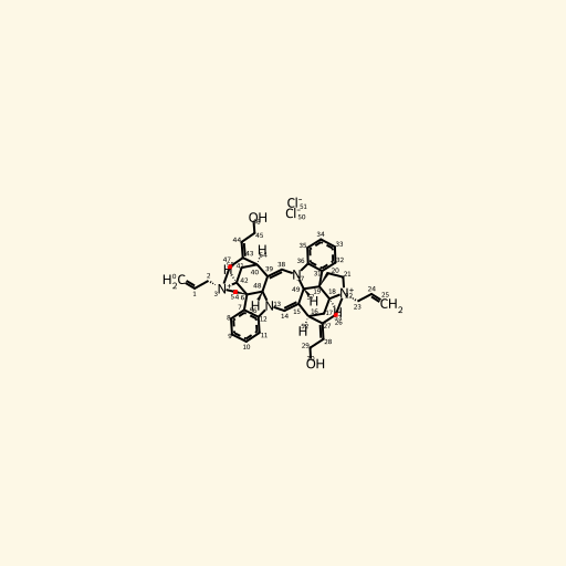 C=CC[N@@+]12CC[C@@]34c5ccccc5N5/C=C6/[C@H]7C[C@H]8[C@@]9(CC[N@@+]8(CC=C)C/C7=C/CO)c7ccccc7N(/C=C(/[C@@H](C[C@@H]31)/C(=C\CO)C2)[C@H]54)[C@@H]69.[Cl-].[Cl-]